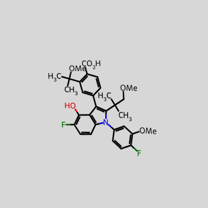 COCC(C)(C)c1c(-c2ccc(C(=O)O)c(C(C)(C)OC)c2)c2c(O)c(F)ccc2n1-c1ccc(F)c(OC)c1